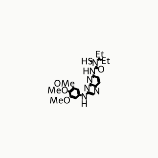 CCC(CC)N(S)C(=O)Nc1ccc2ncc(Nc3cc(OC)c(OC)c(OC)c3)nc2n1